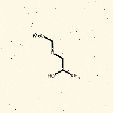 COCOCC(C)O